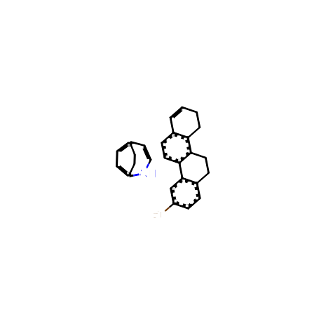 Brc1ccc2c(c1)-c1ccc3c(c1CC2)CCC=C3.C1=CC2=CC=C(CC2)N1